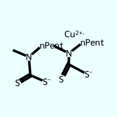 CCCCCN(C)C(=S)[S-].CCCCCN(C)C(=S)[S-].[Cu+2]